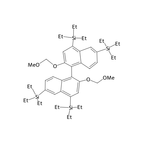 CC[Si](CC)(CC)c1ccc2c(-c3c(OCOC)cc([Si](CC)(CC)CC)c4cc([Si](CC)(CC)CC)ccc34)c(OCOC)cc([Si](CC)(CC)CC)c2c1